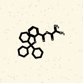 C=C(C)C(=O)OC(=O)c1ccccc1OC(C1CCCCC1)(C1CCCCC1)C1CCCCC1